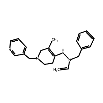 C=CN(Cc1ccccc1)NC1=C(C)CN(Cc2cccnc2)CC1